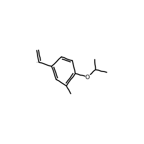 C=[C]c1ccc(OC(C)C)c(C)c1